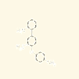 Cc1cc(-c2ccccc2N)ccc1Oc1ccc(N)cc1